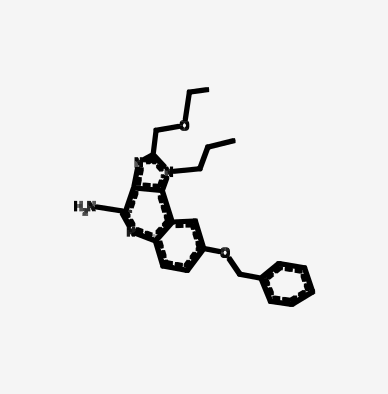 CCCn1c(COCC)nc2c(N)nc3ccc(OCc4ccccc4)cc3c21